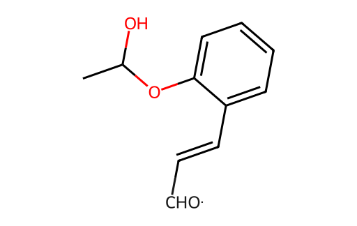 CC(O)Oc1ccccc1/C=C/[C]=O